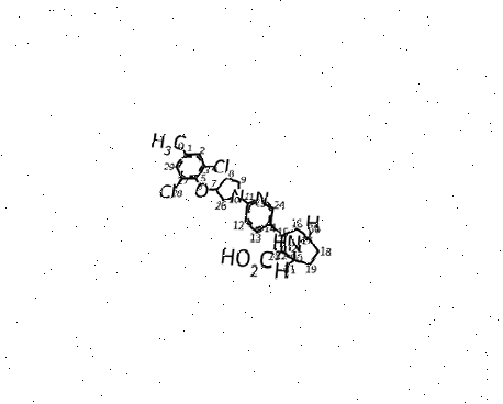 Cc1cc(Cl)c(OC2CCN(c3ccc([C@H]4C[C@@H]5CC[C@@H](N5)[C@@H]4C(=O)O)cn3)C2)c(Cl)c1